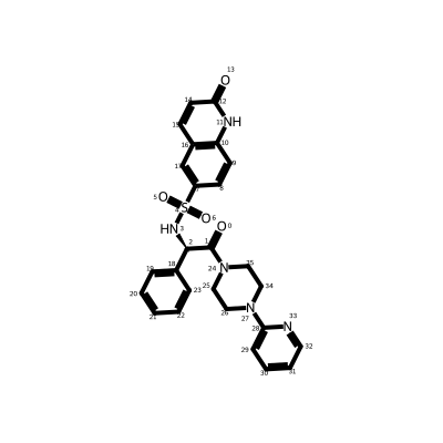 O=C([C@H](NS(=O)(=O)c1ccc2[nH]c(=O)ccc2c1)c1ccccc1)N1CCN(c2ccccn2)CC1